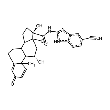 C#Cc1ccc2[nH]c(NC(=O)[C@@]3(O)CCC4C5CCC6=CC(=O)C=CC6(C)C5[C@@H](O)CC43C)nc2c1